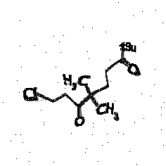 CC(C)(C)C(=O)CCC(C)(C)C(=O)CCCl